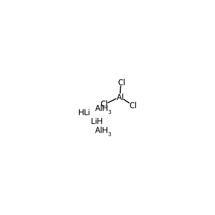 [AlH3].[AlH3].[Cl][Al]([Cl])[Cl].[LiH].[LiH]